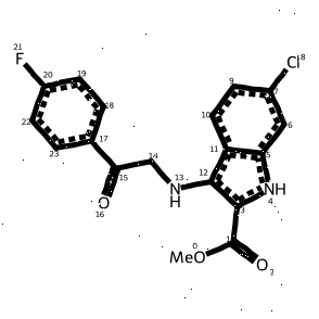 COC(=O)c1[nH]c2cc(Cl)ccc2c1NCC(=O)c1ccc(F)cc1